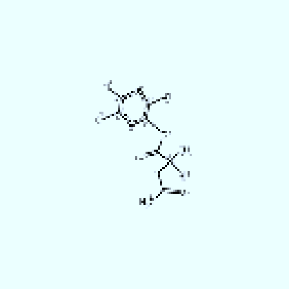 CC(=O)CC(C)(S)C(=O)Oc1cc(Cl)c(Cl)cc1Cl